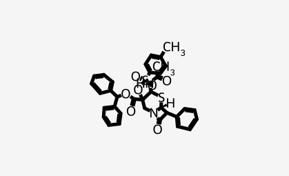 CC(=O)NC1S[C@@H]2C(c3ccccc3)C(=O)N2CC1(OS(=O)(=O)c1ccc(C)cc1)C(=O)OC(c1ccccc1)c1ccccc1